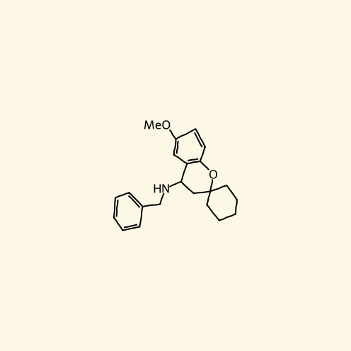 COc1ccc2c(c1)C(NCc1ccccc1)CC1(CCCCC1)O2